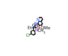 CCC1(C)c2cc(Cl)ccc2N(C)C12C=Nc1c(c(OC)cc3cccnc13)O2